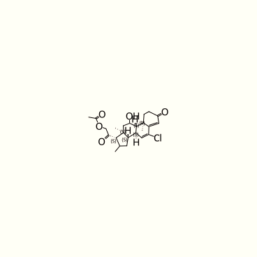 CC(=O)OCC(=O)[C@H]1C(C)C[C@H]2[C@@H]3C=C(Cl)C4=CC(=O)CC[C@]4(C)[C@H]3C(O)C[C@]12C